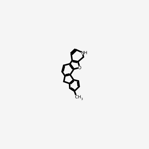 Cc1ccc2c(c1)Cc1ccc3c4c(oc3c1-2)CNC#C4